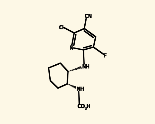 N#Cc1cc(F)c(N[C@H]2CCCC[C@H]2NC(=O)O)nc1Cl